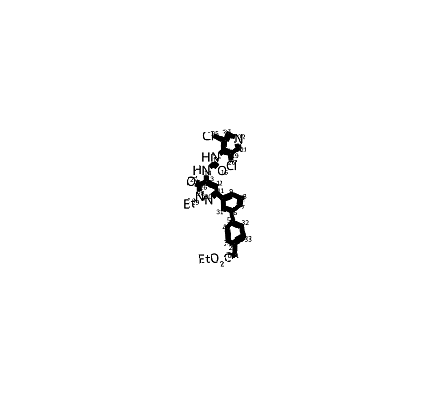 CCOC(=O)Cc1ccc(-c2cccc(-c3cc(NC(=O)Nc4c(Cl)cncc4Cl)c(=O)n(CC)n3)c2)cc1